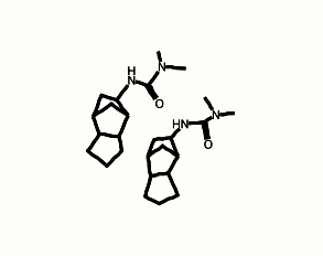 CN(C)C(=O)NC1CC2CC1C1CCCC21.CN(C)C(=O)NC1CC2CC1C1CCCC21